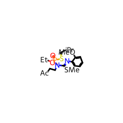 CCOP(=O)(SCC(C)C)N(CCC(C)=O)C(=Nc1ccccc1OC)SC